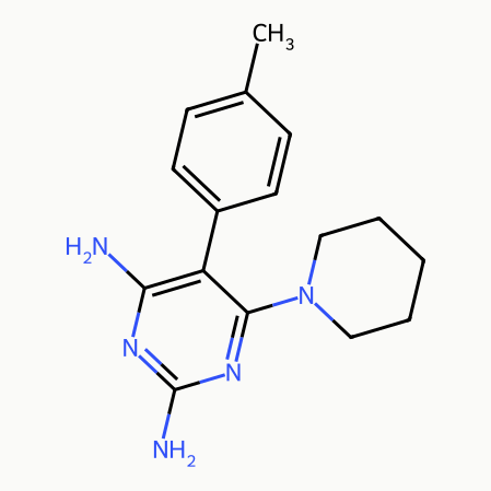 Cc1ccc(-c2c(N)nc(N)nc2N2CCCCC2)cc1